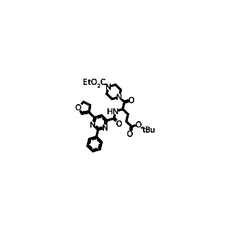 CCOC(=O)N1CCN(C(=O)C(CCC(=O)OC(C)(C)C)NC(=O)c2cc(C3=COCC3)nc(-c3ccccc3)n2)CC1